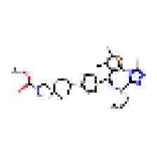 COC[C@@H]1N=C(c2ccc(C3CCC4(CC3)CCN(C(=O)OC(C)(C)C)C4)cc2)c2c(sc(C)c2C)-n2c(C)nnc21